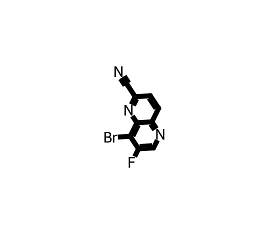 N#Cc1ccc2ncc(F)c(Br)c2n1